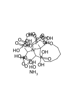 N.O=P(O)(O)C([N+](C(P(=O)(O)O)P(=O)(O)O)(C(P(=O)(O)O)P(=O)(O)O)C1(P(=O)(O)O)CCCCCCOP1(=O)O)P(=O)(O)O